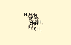 CCc1ccccc1NC(=O)c1c(C)oc2ncn(C)c(=O)c12